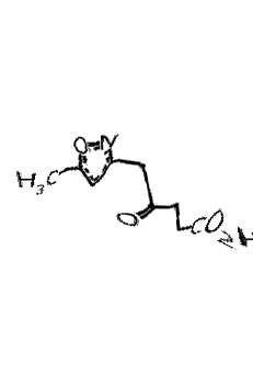 Cc1cc(CC(=O)CCC(=O)O)no1